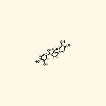 OC1=CCC(C2OCC3C(c4ccc(O)c(O)c4)OCC32O)C=C1O